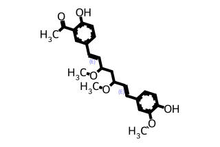 COc1cc(/C=C/C(CC(/C=C/c2ccc(O)c(C(C)=O)c2)OC)OC)ccc1O